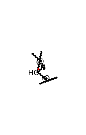 CCCCCCCCC(CCCCCC)C(=O)OCCCCCCC(O)(CCCCCCOC(=O)C(CCCCCC)CCCCCCC)CCCCN(C(C)C)C(C)C